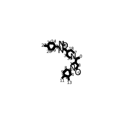 C=C(C1CC(=O)N(c2ccc(C)c(C)c2)C1)N1CCC(c2nc(-c3ccc(C)cc3)no2)CC1